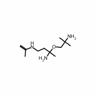 C=C(C)NCCC(C)(N)OCC(C)(C)N